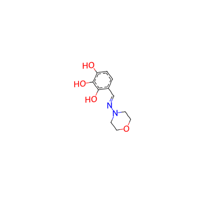 Oc1ccc(/C=N/N2CCOCC2)c(O)c1O